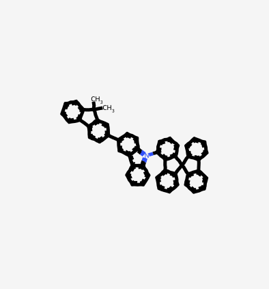 CC1(C)c2ccccc2-c2ccc(-c3ccc4c(c3)c3ccccc3n4-c3cccc4c3-c3ccccc3C43c4ccccc4-c4ccccc43)cc21